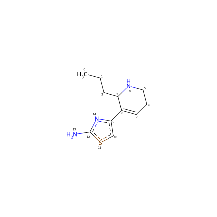 CCCC1NCCC=C1c1csc(N)n1